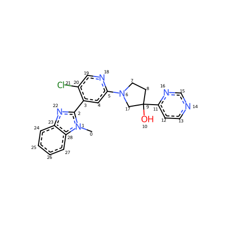 Cn1c(-c2cc(N3CCC(O)(c4ccncn4)C3)ncc2Cl)nc2ccccc21